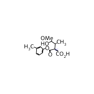 COC(O)C(C)/C(=C/C(=O)O)C(=O)Oc1cccc(C)c1